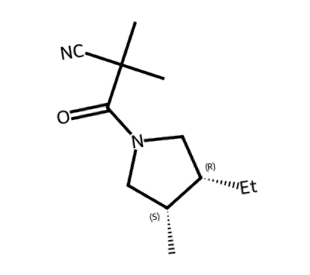 CC[C@H]1CN(C(=O)C(C)(C)C#N)C[C@H]1C